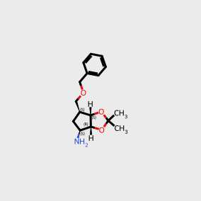 CC1(C)O[C@H]2[C@H](COCc3ccccc3)C[C@H](N)[C@H]2O1